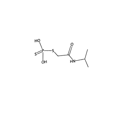 CC(C)NC(=O)CSP(O)(O)=S